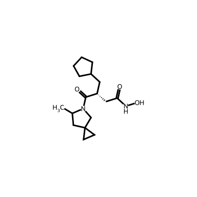 CC1CC2(CC2)CN1C(=O)[C@@H](CC(=O)NO)CC1CCCC1